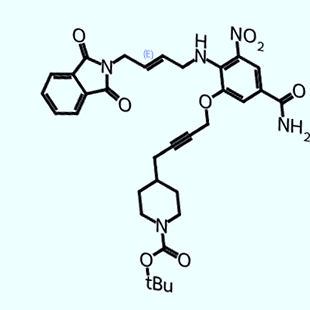 CC(C)(C)OC(=O)N1CCC(CC#CCOc2cc(C(N)=O)cc([N+](=O)[O-])c2NC/C=C/CN2C(=O)c3ccccc3C2=O)CC1